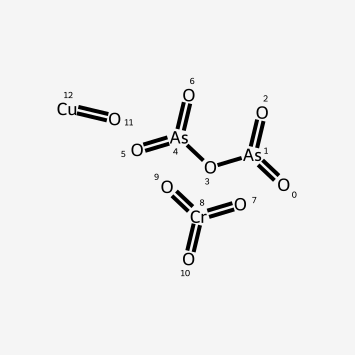 O=[As](=O)O[As](=O)=O.[O]=[Cr](=[O])=[O].[O]=[Cu]